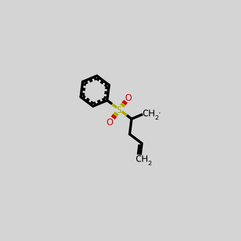 [CH2]C(CC=C)S(=O)(=O)c1ccccc1